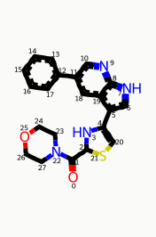 O=C(C1NC(c2c[nH]c3ncc(-c4ccccc4)cc23)=CS1)N1CCOCC1